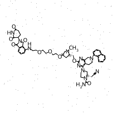 CN1C[C@H](OCCOCCOCCNc2cccc3c2C(=O)N(C2CCC(=O)NC2=O)C3=O)C[C@H]1COc1nc2c(c(N3CCN(C(N)=O)[C@@H](CC#N)C3)n1)CCN(c1cccc3ccccc13)C2